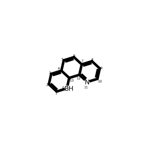 B1C=CC=C2C=Cc3cccnc3C12